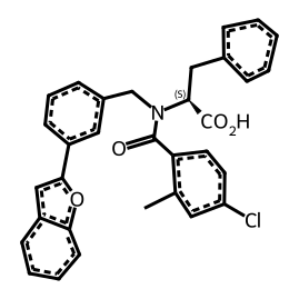 Cc1cc(Cl)ccc1C(=O)N(Cc1cccc(-c2cc3ccccc3o2)c1)[C@@H](Cc1ccccc1)C(=O)O